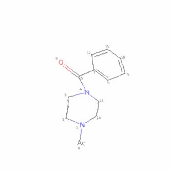 CC(=O)N1CCN(C(=O)c2cc[c]cc2)CC1